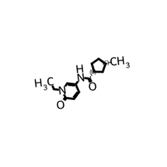 CCn1cc(NC(=O)[C@@H]2CC[C@H](C)C2)ccc1=O